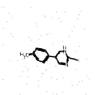 Cc1ccc(C2C=NC(I)NC2)cc1